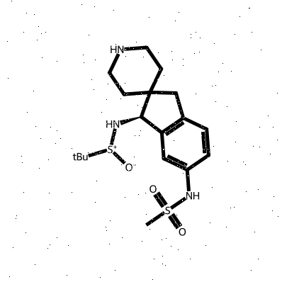 CC(C)(C)[S+]([O-])N[C@@H]1c2cc(NS(C)(=O)=O)ccc2CC12CCNCC2